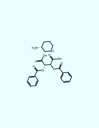 N[C@@H]1CCCNC1.O=C(O[C@H](C(=O)O)[C@H](OC(=O)c1ccccc1)C(=O)O)c1ccccc1